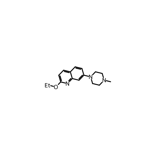 CCOc1ccc2ccc(N3CCN(C)CC3)cc2n1